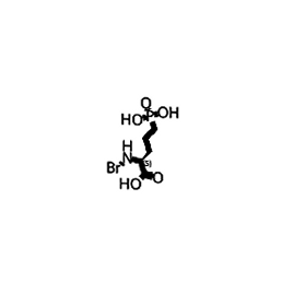 O=C(O)[C@H](CCCP(=O)(O)O)NBr